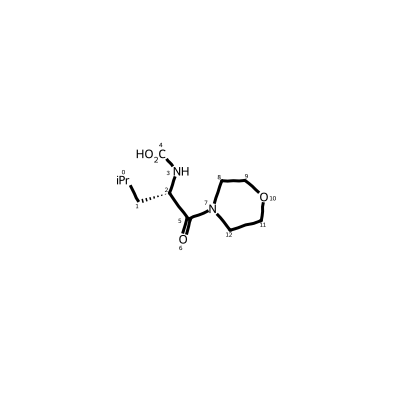 CC(C)C[C@H](NC(=O)O)C(=O)N1CCOCC1